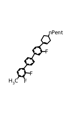 CCCCCC1CC=C(c2ccc(-c3ccc(-c4ccc(C)c(F)c4F)cc3)cc2F)CC1